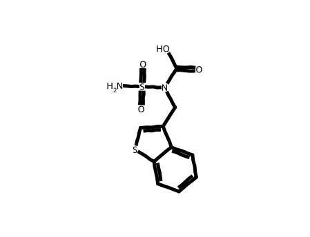 NS(=O)(=O)N(Cc1csc2ccccc12)C(=O)O